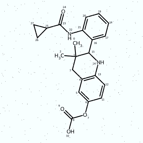 CC1(C)Cc2cc(OC(=O)O)ccc2NC1c1ccccc1NC(=O)C1CC1